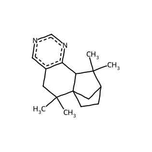 CC1(C)C2CCC3(C2)C1c1ncncc1CC3(C)C